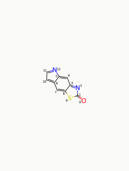 O=C1N=c2cc3c(cc2S1)=CC=N3